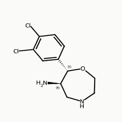 N[C@@H]1CNCCO[C@H]1c1ccc(Cl)c(Cl)c1